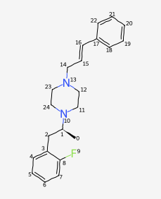 C[C@@H](Cc1ccccc1F)N1CCN(C/C=C/c2ccccc2)CC1